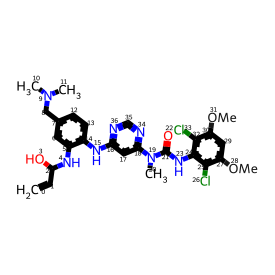 C=CC(O)Nc1cc(CN(C)C)ccc1Nc1cc(N(C)C(=O)Nc2c(Cl)c(OC)cc(OC)c2Cl)ncn1